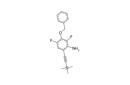 C[Si](C)(C)C#Cc1cc(F)c(OCc2ccccc2)c(F)c1N